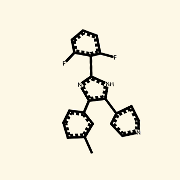 Cc1cccc(-c2nc(-c3c(F)cccc3F)[nH]c2-c2ccncc2)c1